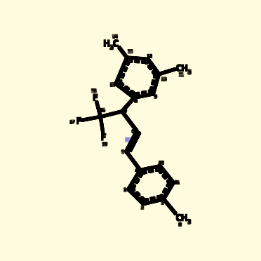 Cc1ccc(/C=C/C(c2cc(C)cc(C)c2)C(F)(F)F)cc1